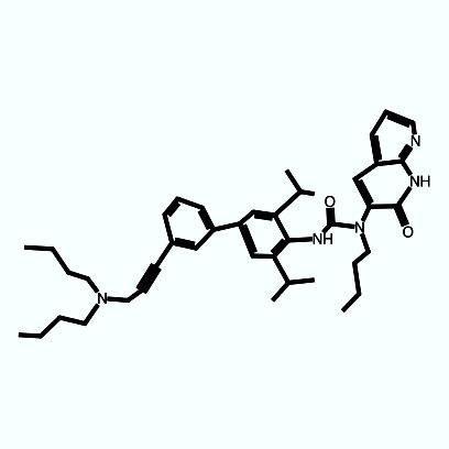 CCCCN(CC#Cc1cccc(-c2cc(C(C)C)c(NC(=O)N(CCCC)c3cc4cccnc4[nH]c3=O)c(C(C)C)c2)c1)CCCC